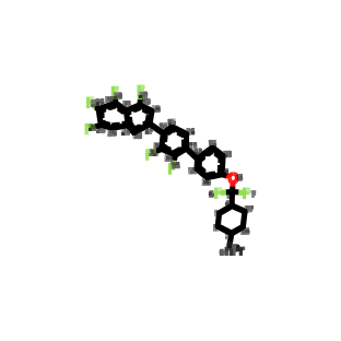 CCCC1CCC(C(F)(F)Oc2ccc(-c3ccc(-c4cc(F)c5c(F)c(F)c(F)cc5c4)c(F)c3F)cc2)CC1